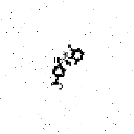 CC(=O)c1ccc(NS(=O)(=O)c2c(F)cccc2F)cc1